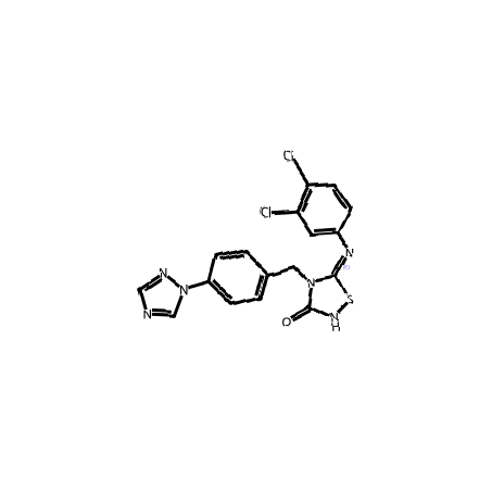 O=c1[nH]s/c(=N/c2ccc(Cl)c(Cl)c2)n1Cc1ccc(-n2cncn2)cc1